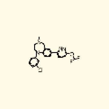 CN1CCN(c2cccc(Cl)c2)c2ccc(-c3ccc(OC(F)F)nn3)cc2C1